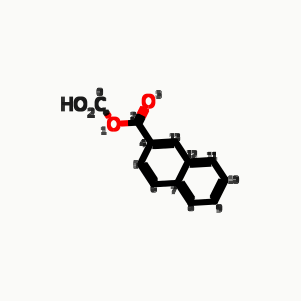 O=C(O)OC(=O)c1ccc2ccccc2c1